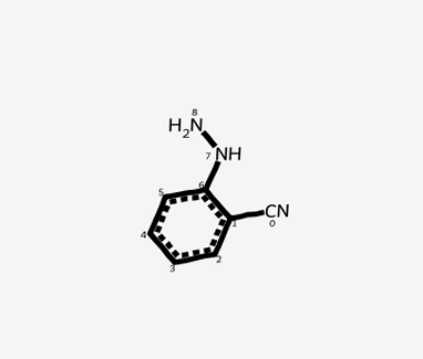 N#Cc1ccccc1NN